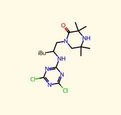 CCC(C)C(CN1CC(C)(C)NC(C)(C)C1=O)Nc1nc(Cl)nc(Cl)n1